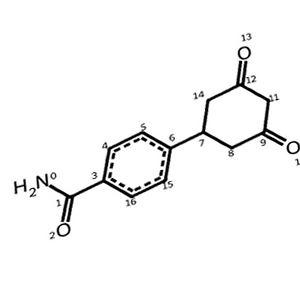 NC(=O)c1ccc(C2CC(=O)CC(=O)C2)cc1